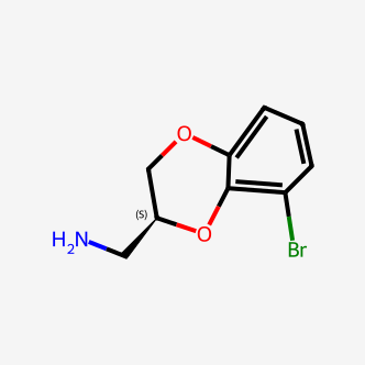 NC[C@H]1COc2cccc(Br)c2O1